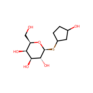 OC[C@H]1O[C@@H](SC2CCC(O)C2)[C@H](O)[C@@H](O)[C@H]1O